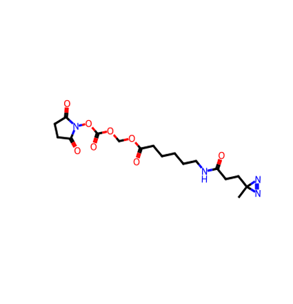 CC1(CCC(=O)NCCCCCC(=O)OCOC(=O)ON2C(=O)CCC2=O)N=N1